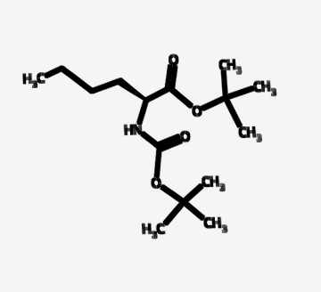 CCCC[C@H](NC(=O)OC(C)(C)C)C(=O)OC(C)(C)C